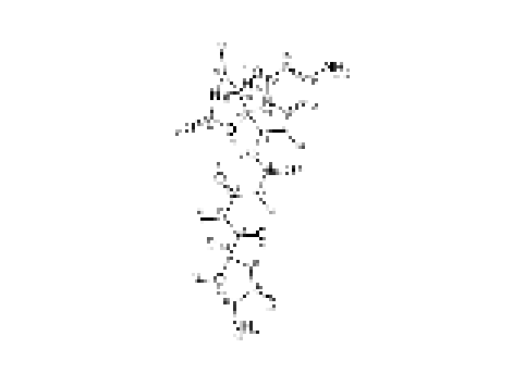 CC[C@@H](OC(=O)C(C)C(=O)[C@H](C)[C@@H](O)[C@@](C)(C[C@@H](C)CN)OC)[C@@]1(n2ccc(N)nc2=O)OC(=O)N2[C@@H](C)[C@@H]21